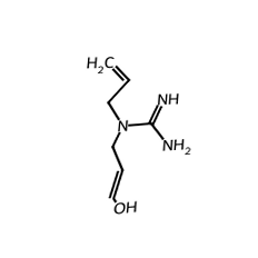 C=CCN(CC=CO)C(=N)N